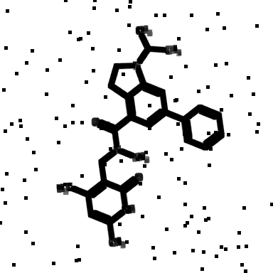 Cc1cc(C)c(CN(N)C(=O)c2cc(-c3ccccc3)cc3c2CCN3C(C)C)c(=O)[nH]1